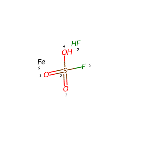 F.O=S(=O)(O)F.[Fe]